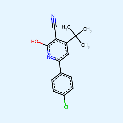 CC(C)(C)c1cc(-c2ccc(Cl)cc2)nc(O)c1C#N